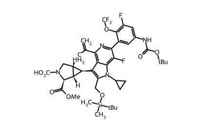 C=C(C)c1nc(-c2cc(NC(=O)OC(C)(C)C)cc(F)c2OC(F)(F)F)c(F)c2c1c([C@@H]1[C@H]3CN(C(=O)O)[C@H](C(=O)OC)[C@H]31)c(CO[Si](C)(C)C(C)(C)C)n2C1CC1